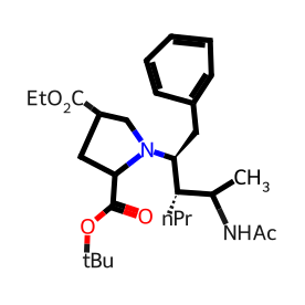 CCC[C@@H](C(C)NC(C)=O)[C@H](Cc1ccccc1)N1CC(C(=O)OCC)CC1C(=O)OC(C)(C)C